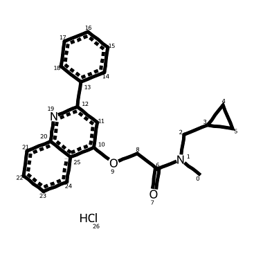 CN(CC1CC1)C(=O)COc1cc(-c2ccccc2)nc2ccccc12.Cl